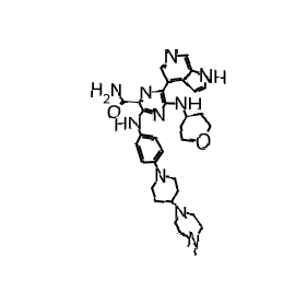 CN1CCN(C2CCN(c3ccc(Nc4nc(NC5CCOCC5)c(-c5cncc6[nH]ccc56)nc4C(N)=O)cc3)CC2)CC1